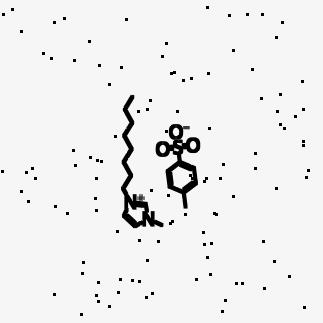 CCCCCCCC[n+]1ccn(C)c1.Cc1ccc(S(=O)(=O)[O-])cc1